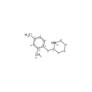 Cc1ccc(CC2CCCCN2)c(C)c1